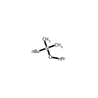 CC[CH]O[Si](C)(C)CCCC